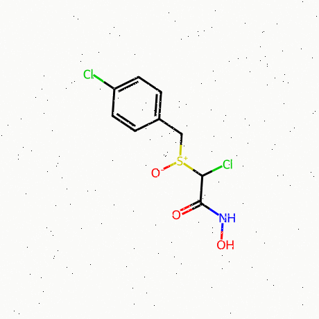 O=C(NO)C(Cl)[S+]([O-])Cc1ccc(Cl)cc1